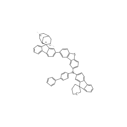 C[C@@H]1CC2CC(C1)[C@@]1(c3ccccc3-c3ccc(-c4ccc5sc6ccc(N(c7ccc(-c8ccccc8)cc7)c7ccc8c(c7)C7(CCCCC7)c7ccccc7-8)cc6c5c4)cc31)[C@@H](C)C2